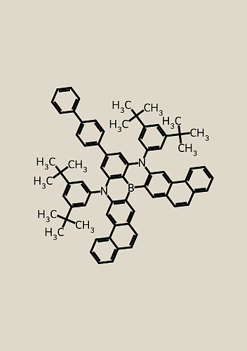 CC(C)(C)c1cc(N2c3cc4c(ccc5ccccc54)cc3B3c4cc5ccc6ccccc6c5cc4N(c4cc(C(C)(C)C)cc(C(C)(C)C)c4)c4cc(-c5ccc(-c6ccccc6)cc5)cc2c43)cc(C(C)(C)C)c1